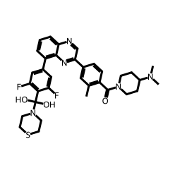 Cc1cc(-c2cnc3cccc(-c4cc(F)c(C(O)(O)N5CCSCC5)c(F)c4)c3n2)ccc1C(=O)N1CCC(N(C)C)CC1